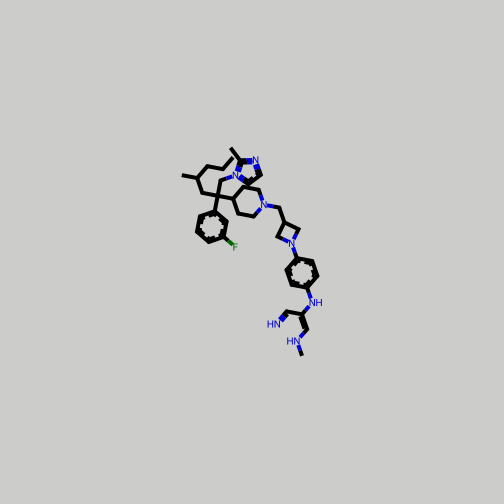 CCCC(C)CC(Cn1ccnc1C)(c1cccc(F)c1)C1CCN(CC2CN(c3ccc(N/C(C=N)=C/NC)cc3)C2)CC1